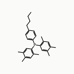 CCCCc1ccc(P(c2cc(C)c(C)cc2C)c2cc(C)c(C)cc2C)cc1